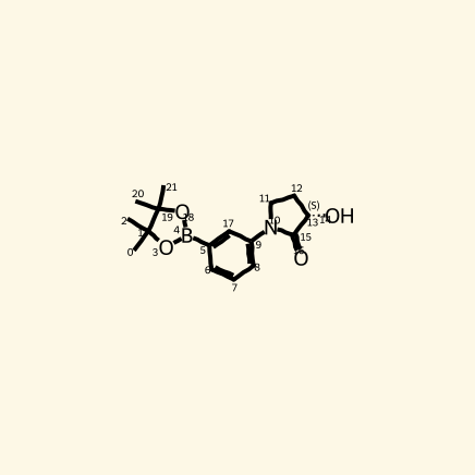 CC1(C)OB(c2cccc(N3CC[C@H](O)C3=O)c2)OC1(C)C